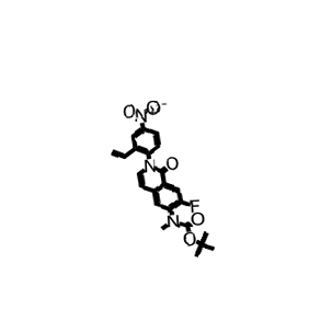 C=Cc1cc([N+](=O)[O-])ccc1-n1ccc2cc(N(C)C(=O)OC(C)(C)C)c(F)cc2c1=O